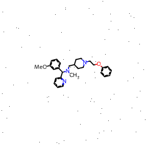 COc1cccc(C(c2ccccn2)N(C)CC2CCN(CCOc3ccccc3)CC2)c1